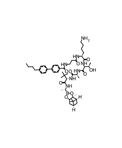 CCCCc1ccc(-c2ccc(C(=O)NCCC(=O)N[C@@H](CCCCN)C(=O)N[C@H](C(=O)N[C@@H](C)C(=O)N[C@H](C(=O)N[C@@H](C)B3OC4C[C@@H]5C[C@@H](C5(C)C)[C@]4(C)O3)C(C)(C)C)[C@@H](C)O)cc2)cc1